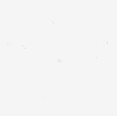 Cc1noc(C)c1-c1c(/C=N/O)c2ccccc2n1-c1ccc(O)c(F)c1F